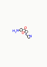 Nc1ccc2c(=O)c3c(oc2c1)/C(=C/c1cccnc1)CC3